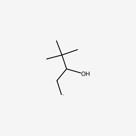 [CH2]CC(O)C(C)(C)C